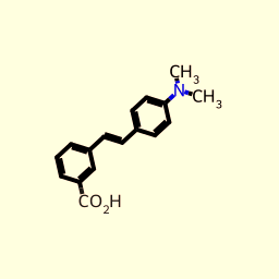 CN(C)c1ccc(C=Cc2cccc(C(=O)O)c2)cc1